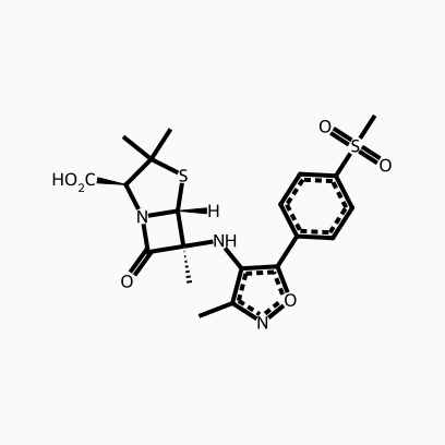 Cc1noc(-c2ccc(S(C)(=O)=O)cc2)c1N[C@@]1(C)C(=O)N2[C@@H](C(=O)O)C(C)(C)S[C@@H]21